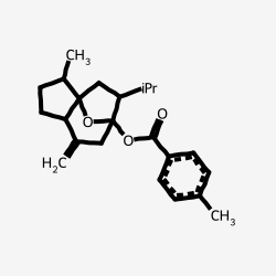 C=C1CC2(OC(=O)c3ccc(C)cc3)OC3(CC2C(C)C)C(C)CCC13